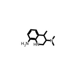 CC1c2cccc(N)c2NCC1N(C)C